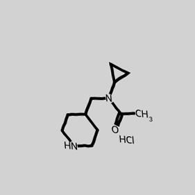 CC(=O)N(CC1CCNCC1)C1CC1.Cl